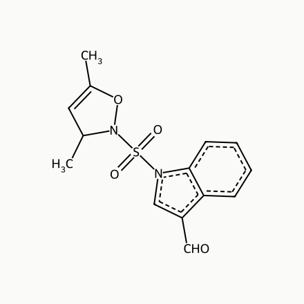 CC1=CC(C)N(S(=O)(=O)n2cc(C=O)c3ccccc32)O1